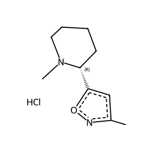 Cc1cc([C@H]2CCCCN2C)on1.Cl